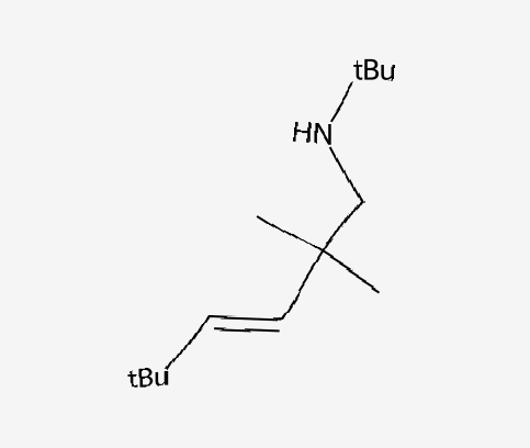 CC(C)(C)/C=C/C(C)(C)CNC(C)(C)C